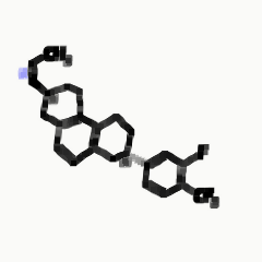 C/C=C\[C@H]1CCc2c(ccc3c2CC[C@H](c2ccc(C(F)(F)F)c(F)c2)C3)C1